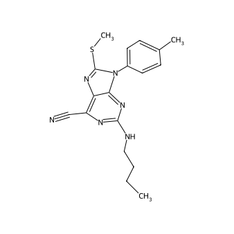 CCCCNc1nc(C#N)c2nc(SC)n(-c3ccc(C)cc3)c2n1